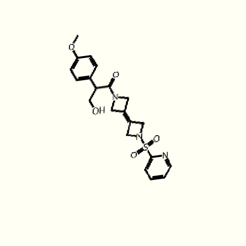 COc1ccc(C(CO)C(=O)N2CC(=C3CN(S(=O)(=O)c4ccccn4)C3)C2)cc1